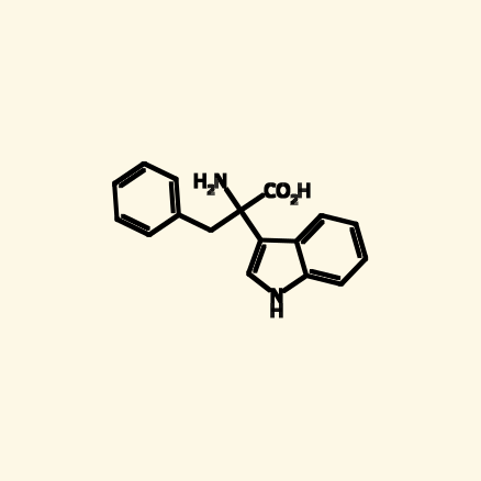 NC(Cc1ccccc1)(C(=O)O)c1c[nH]c2ccccc12